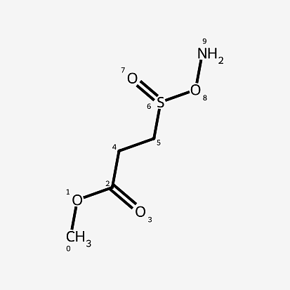 COC(=O)CCS(=O)ON